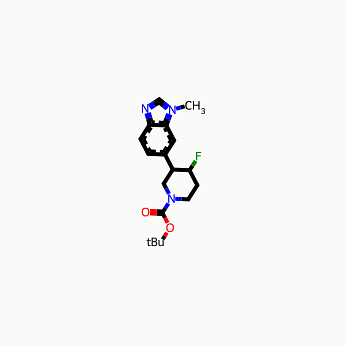 Cn1cnc2ccc(C3CN(C(=O)OC(C)(C)C)CCC3F)cc21